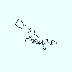 CC(C)(C)OC(=O)NCC1CN(Cc2ccccc2)CC1(F)C(=O)O